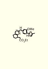 CCOC(=O)CC1CCCc2cnc(Nc3ccc(-c4nc(C)c[nH]4)c(OC)c3)nc21